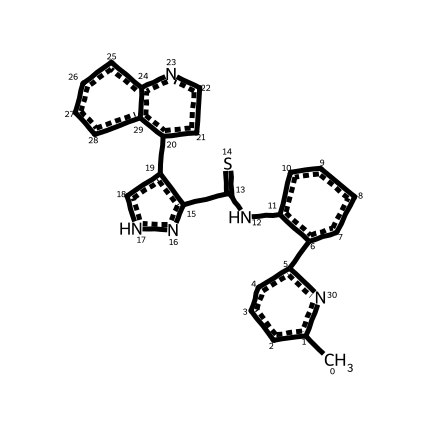 Cc1cccc(-c2ccccc2NC(=S)c2n[nH]cc2-c2ccnc3ccccc23)n1